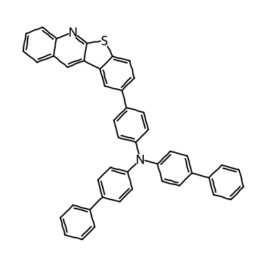 c1ccc(-c2ccc(N(c3ccc(-c4ccccc4)cc3)c3ccc(-c4ccc5sc6nc7ccccc7cc6c5c4)cc3)cc2)cc1